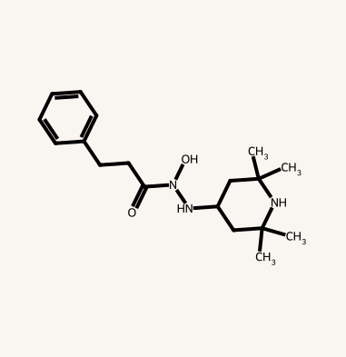 CC1(C)CC(NN(O)C(=O)CCc2ccccc2)CC(C)(C)N1